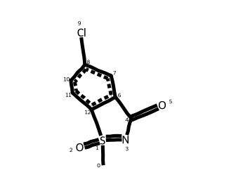 CS1(=O)=NC(=O)c2cc(Cl)ccc21